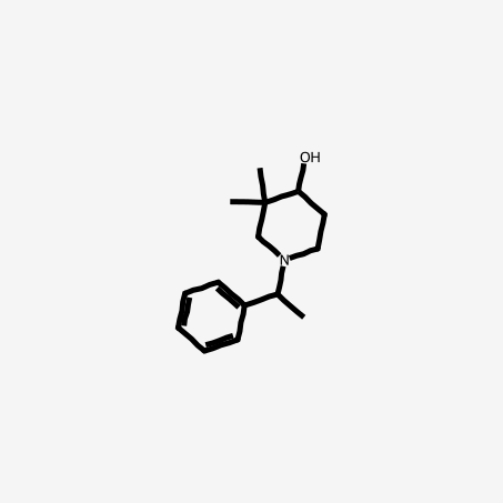 CC(c1ccccc1)N1CCC(O)C(C)(C)C1